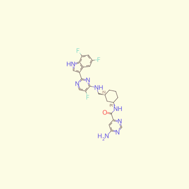 Nc1cc(C(=O)N[C@@H]2CCC[C@H](CNc3nc(-c4c[nH]c5c(F)cc(F)cc45)ncc3F)C2)ncn1